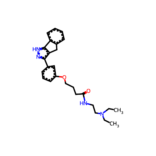 CCN(CC)CCNC(=O)CCCOc1cccc(-c2n[nH]c3c2Cc2ccccc2-3)c1